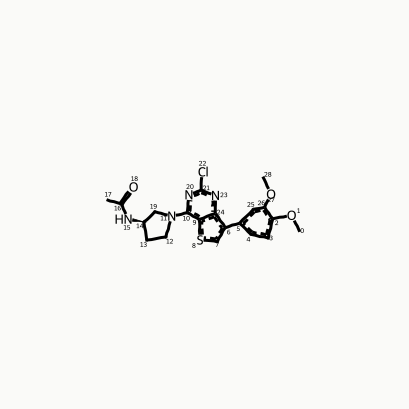 COc1ccc(-c2csc3c(N4CC[C@@H](NC(C)=O)C4)nc(Cl)nc23)cc1OC